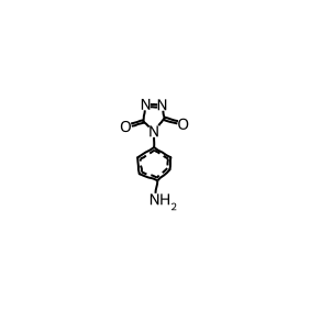 Nc1ccc(N2C(=O)N=NC2=O)cc1